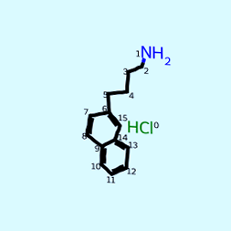 Cl.NCCCCc1ccc2ccccc2c1